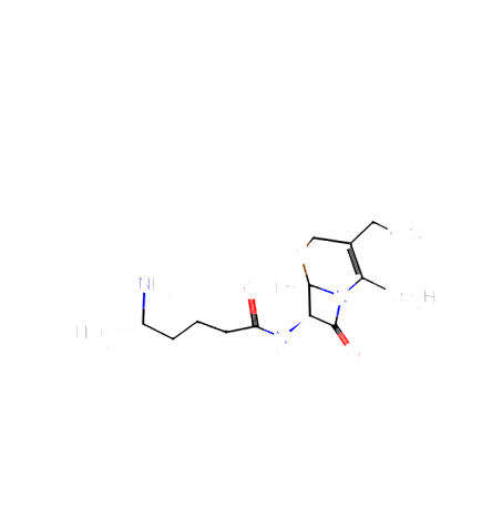 CC(=O)OCC1=C(C(=O)O)N2C(=O)[C@@H](NC(=O)CCC[C@@H](N)C(=O)O)[C@H]2SC1